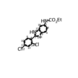 CCOC(=O)Nc1ccc2nc(-c3ccc(Cl)cc3Cl)[nH]c2c1